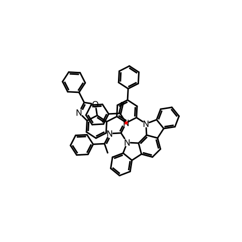 C=C(/N=C(\N=C(/C)c1ccccc1)n1c2ccccc2c2ccc3c4ccccc4n(-c4cc(-c5ccccc5)cc(-c5cccc6nc(-c7ccccc7)oc56)c4)c3c21)c1ccccc1